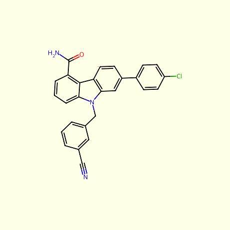 N#Cc1cccc(Cn2c3cc(-c4ccc(Cl)cc4)c[c]c3c3c(C(N)=O)cccc32)c1